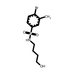 Cc1cc(S(=O)(=O)NCCCCO)ccc1Br